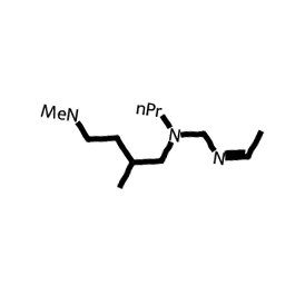 C/C=N\CN(CCC)CC(C)CCNC